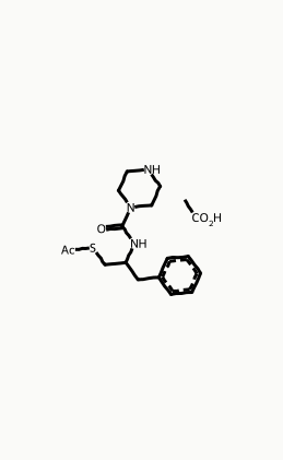 CC(=O)O.CC(=O)SCC(Cc1ccccc1)NC(=O)N1CCNCC1